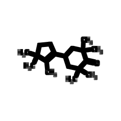 CC1=C(C2CC(C)(C)C(=O)C(C)(C)C2)CCC1(C)C